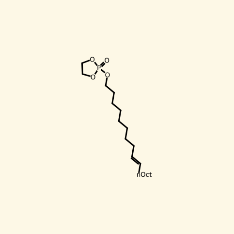 CCCCCCCCC=CCCCCCCCCOP1(=O)OCCO1